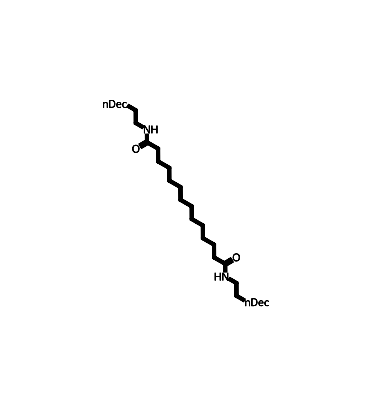 CCCCCCCCCCCCNC(=O)CCCCCCCCCCCCC(=O)NCCCCCCCCCCCC